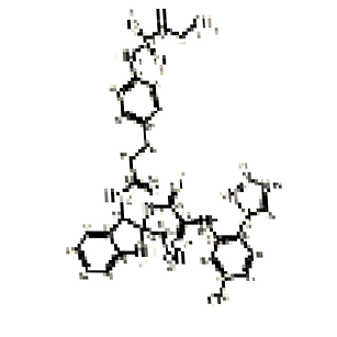 CCNS(=O)(=O)Nc1ccc(CCC(=O)NC2c3ccccc3NC2(NC(=O)C(=O)Nc2cc(Cl)ccc2-n2cnnn2)C(=O)O)cc1